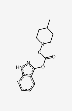 CC1CCN(OC(=O)Oc2n[nH]c3ncccc23)CC1